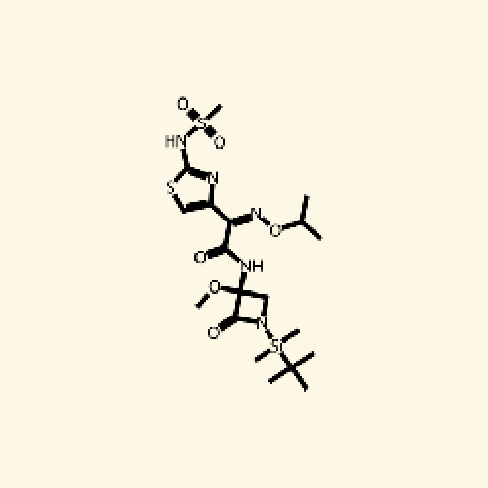 COC1(NC(=O)C(=NOC(C)C)c2csc(NS(C)(=O)=O)n2)CN([Si](C)(C)C(C)(C)C)C1=O